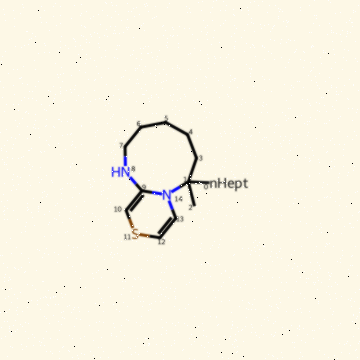 CCCCCCCC1(C)CCCCCNC2=CSC=CN21